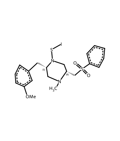 COc1cccc(C[C@H]2CN(C)[C@@H](CS(=O)(=O)c3ccccc3)CN2SI)c1